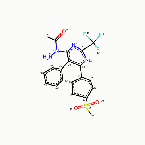 CC(=O)N(N)c1nc(C(F)(F)F)nc(-c2ccc(S(C)(=O)=O)cc2)c1-c1ccccc1